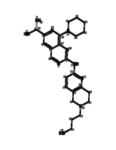 C[C@@H](O)c1cc2cnc(Nc3ccc4c(n3)CCN(CCCO)C4)nc2c(N2CCCCC2)n1